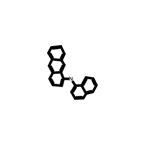 c1ccc2cc3c([N]c4cccc5ccccc45)cccc3cc2c1